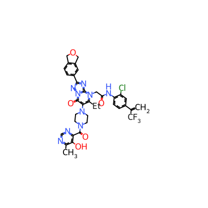 C=C(c1ccc(NC(=O)Cn2c(CC)c(N3CCN(C(=O)c4ncnc(C)c4O)CC3)c(=O)n3nc(-c4ccc5c(c4)COC5)nc23)c(Cl)c1)C(F)(F)F